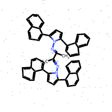 CC(=N\n1c(-c2cccc3ccccc23)ccc1-c1cccc2ccccc12)/C(C)=N/n1c(-c2cccc3ccccc23)ccc1-c1cccc2ccccc12